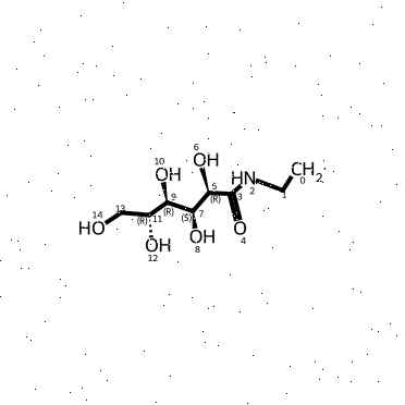 [CH2]CNC(=O)[C@H](O)[C@@H](O)[C@H](O)[C@H](O)CO